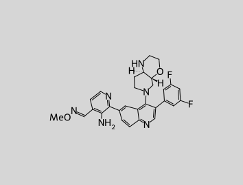 CON=Cc1ccnc(-c2ccc3ncc(-c4cc(F)cc(F)c4)c(N4CC[C@H]5NCCO[C@@H]5C4)c3c2)c1N